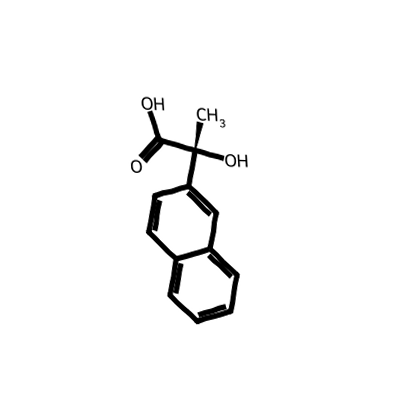 C[C@](O)(C(=O)O)c1ccc2ccccc2c1